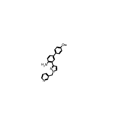 COc1ccc(-c2ccc(N)c(-c3ccn(Cc4cccnc4)n3)c2)cc1